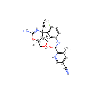 C#CC1(c2cc(NC(=O)c3ncc(C#N)cc3C)ccc2F)N=C(N)O[C@@H]2COC[C@@H]21